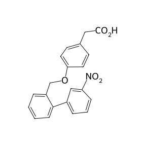 O=C(O)Cc1ccc(OCc2ccccc2-c2cccc([N+](=O)[O-])c2)cc1